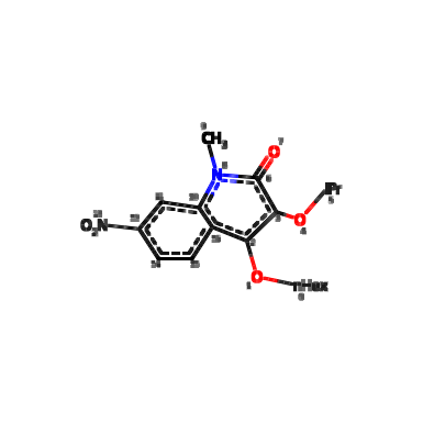 CCCCCCOc1c(OC(C)C)c(=O)n(C)c2cc([N+](=O)[O-])ccc12